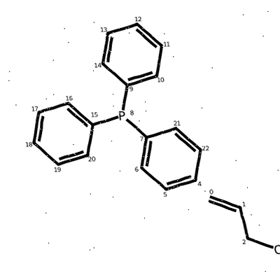 C=CCCl.c1ccc(P(c2ccccc2)c2ccccc2)cc1